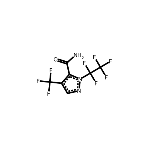 NC(=O)c1c(C(F)(F)F)cnn1C(F)(F)C(F)(F)F